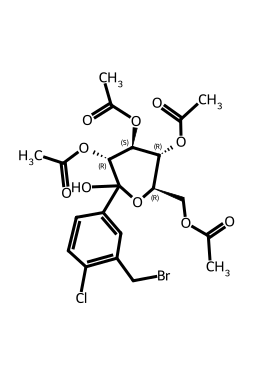 CC(=O)OC[C@H]1OC(O)(c2ccc(Cl)c(CBr)c2)[C@H](OC(C)=O)[C@@H](OC(C)=O)[C@@H]1OC(C)=O